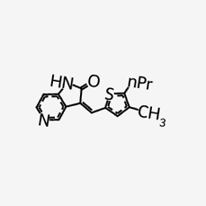 CCCc1sc(C=C2C(=O)Nc3ccncc32)cc1C